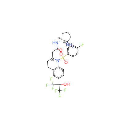 N[C@@H]1CCC[C@H]1NC(=O)C[C@@H]1CCc2cc(C(O)(C(F)(F)F)C(F)(F)F)ccc2N1S(=O)(=O)c1ccc(F)cc1